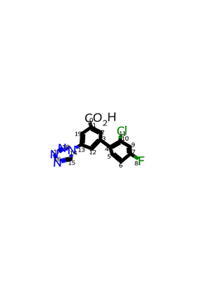 O=C(O)c1cc(-c2ccc(F)cc2Cl)cc(-n2cnnn2)c1